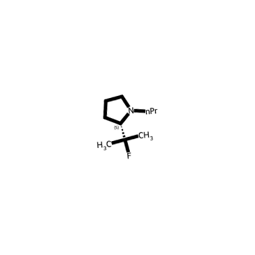 CCCN1CCC[C@H]1C(C)(C)F